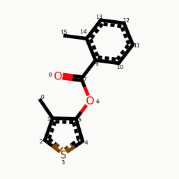 Cc1cscc1OC(=O)c1ccccc1C